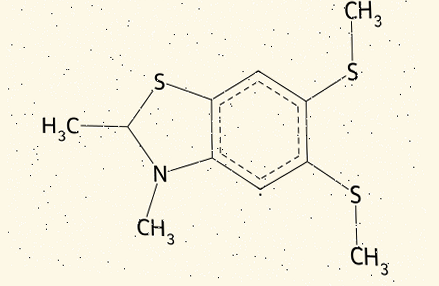 CSc1[c]c2c(cc1SC)SC(C)N2C